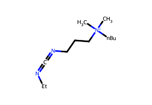 CCCC[N+](C)(C)CCCN=C=NCC